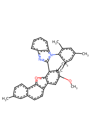 COc1cc2c(oc3c4ccc(C)cc4ccc23)c(-c2nc3ccccc3n2-c2c(C)cc(C)cc2C)c1C